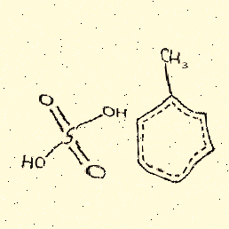 Cc1ccccc1.O=S(=O)(O)O